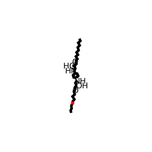 CCCCCCCCCCOCC(O)CNc1ccc(NCC(O)COCCCCCCCCCC)cc1